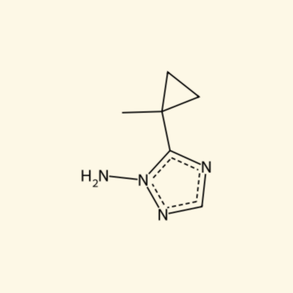 CC1(c2ncnn2N)CC1